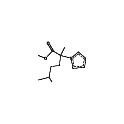 COC(=O)C(C)(CCC(C)C)n1cccc1